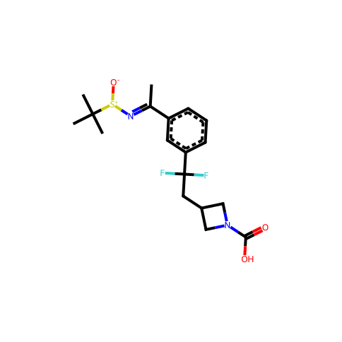 CC(=N[S+]([O-])C(C)(C)C)c1cccc(C(F)(F)CC2CN(C(=O)O)C2)c1